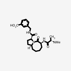 CN[C@@H](C)C(=O)N[C@H]1CCCC[C@H]2CC[C@@H](C(=O)NCc3cccc(C(=O)O)c3)N2C1=O